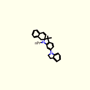 CCCN1c2cc(N3CCc4ccccc43)ccc2C(C)(C)C12C=Cc1ccccc1C2